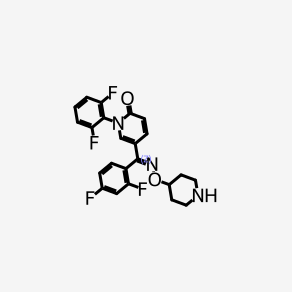 O=c1ccc(/C(=N/OC2CCNCC2)c2ccc(F)cc2F)cn1-c1c(F)cccc1F